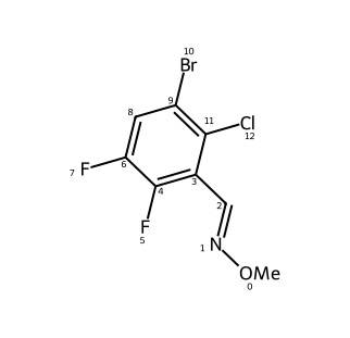 CON=Cc1c(F)c(F)cc(Br)c1Cl